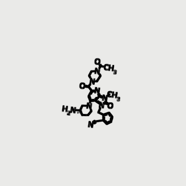 CC(=O)N1CCN(C(=O)c2cc(N3CCC[C@@H](N)C3)c3c(n2)n(C)c(=O)n3Cc2ccccc2C#N)CC1